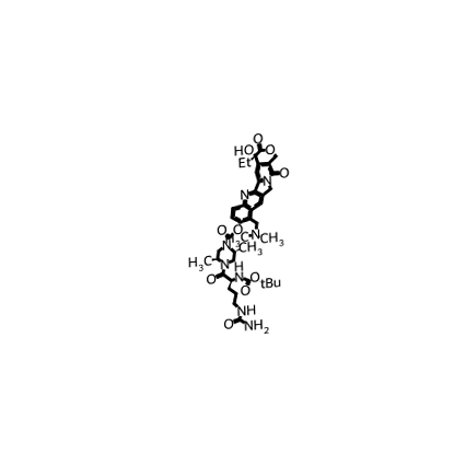 CC[C@@]1(O)C(=O)OCc2c1cc1n(c2=O)Cc2cc3c(CN(C)C)c(OC(=O)N4C[C@H](C)N(C(=O)[C@H](CCCNC(N)=O)NC(=O)OC(C)(C)C)C[C@H]4C)ccc3nc2-1